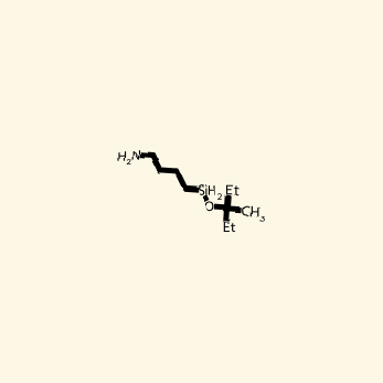 CCC(C)(CC)O[SiH2]CCCCN